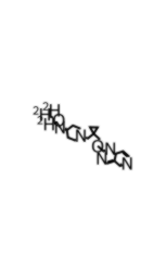 [2H]C([2H])([2H])ON=C1CCN(CC2(COc3ncc4cnccc4n3)CC2)CC1